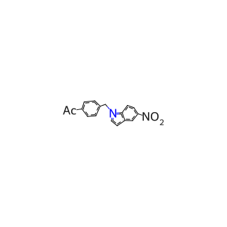 CC(=O)c1ccc(Cn2ccc3cc([N+](=O)[O-])ccc32)cc1